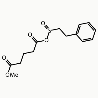 COC(=O)CCCC(=O)OS(=O)CCc1ccccc1